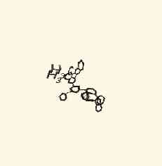 CC1(C)c2ccc(-c3cc(-c4ccccc4)cc(-c4cccc5c4ccc4c6ccccc6oc54)c3)cc2-c2cc3ccccc3cc21